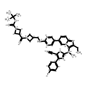 CCc1nc2ccc(-c3cnc(NCC4CN(C(=O)C5CN(C(=O)OC(C)(C)C)C5)C4)nc3)cn2c1N(C)c1nc(-c2ccc(F)cc2)c(C#N)s1